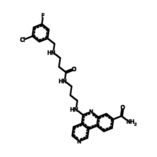 NC(=O)c1ccc2c(c1)nc(NCCCNC(=O)CCNCc1cc(F)cc(Cl)c1)c1ccncc12